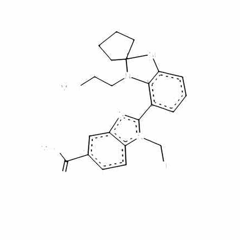 COCCN1c2c(cccc2-c2nc3cc(C(=O)OC)ccc3n2CC(C)C)NC12CCCC2